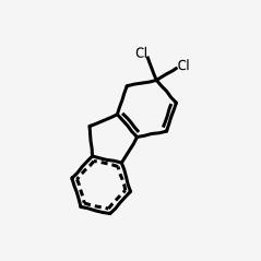 ClC1(Cl)C=CC2=C(Cc3ccccc32)C1